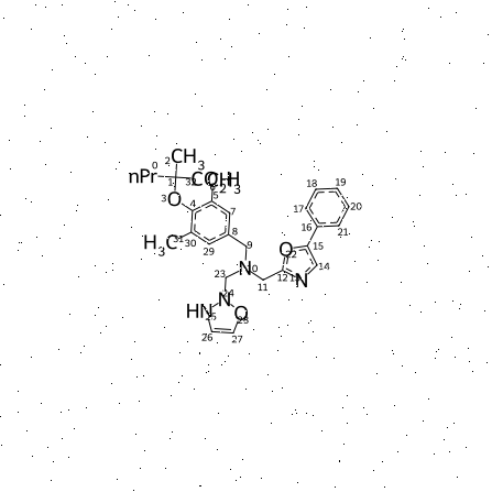 CCCC(C)(Oc1c(C)cc(CN(Cc2ncc(-c3ccccc3)o2)CN2NC=CO2)cc1C)C(=O)O